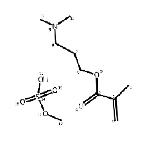 C=C(C)C(=O)OCCCN(C)C.COS(=O)(=O)O